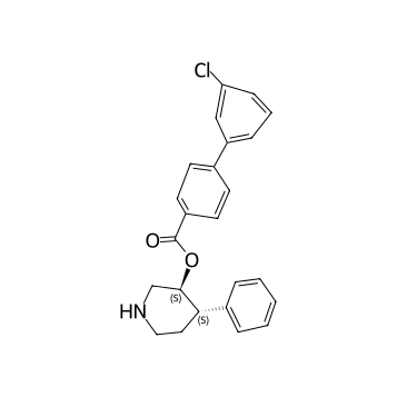 O=C(O[C@@H]1CNCC[C@H]1c1ccccc1)c1ccc(-c2cccc(Cl)c2)cc1